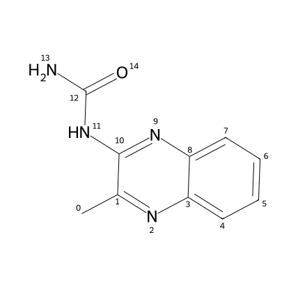 Cc1nc2ccccc2nc1NC(N)=O